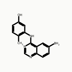 Bc1ccc2ncnc(Nc3cc(O)ccc3C)c2c1